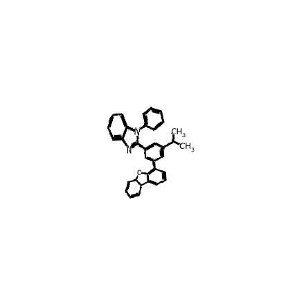 CC(C)c1cc(-c2cccc3c2OC2C=CC=CC32)cc(-c2nc3ccccc3n2-c2ccccc2)c1